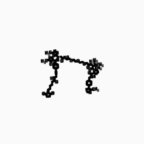 Cc1ncsc1-c1ccc(CNC(=O)[C@@H]2CCCN2C(=O)[C@@H](NC(=O)COCCOCCOCCNC(=O)C[C@@H]2N=C(c3ccc(C#CCNC(=O)CCCCCN4C(=O)C=CC4=O)cc3)c3c(sc(C)c3C)-n3c(C)nnc32)C(C)(C)C)cc1